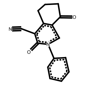 N#Cc1c2c(cn(-c3ccccc3)c1=O)C(=O)CCC2